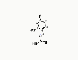 Cl.N=C(N)/C=C/c1ccc(F)cc1